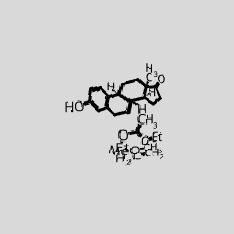 C=C.CCOC(C)OCC.COC.C[C@]12CC[C@@H]3c4ccc(O)cc4CC[C@H]3[C@@H]1CCC2=O